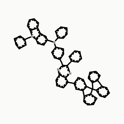 c1ccc(-c2nc3c(-c4ccc5c(c4)-c4ccccc4C54c5ccccc5-c5ccccc54)cccc3nc2-c2ccc(N(c3ccccc3)c3ccc4c(c3)c3ccccc3n4-c3ccccc3)cc2)cc1